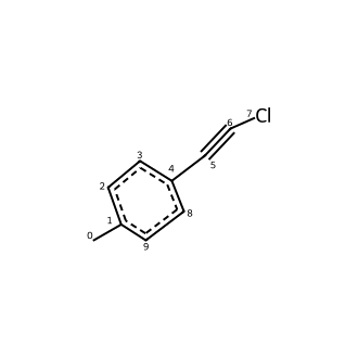 Cc1ccc(C#CCl)cc1